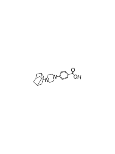 O=C(O)c1ccc(N2CCN(C34CC5CC(CC(C5)C3)C4)CC2)cc1